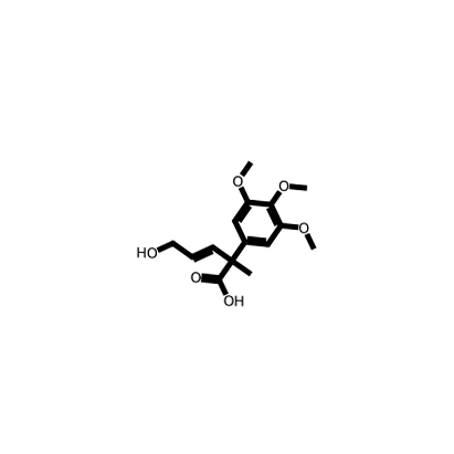 COc1cc(C(C)(/C=C/CO)C(=O)O)cc(OC)c1OC